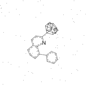 c1ccc(-c2cccc3ccc([C]45[CH]6[CH]7[CH]8[CH]4[Fe]786549%10%11[CH]5[CH]4[CH]9[CH]%10[CH]5%11)nc23)cc1